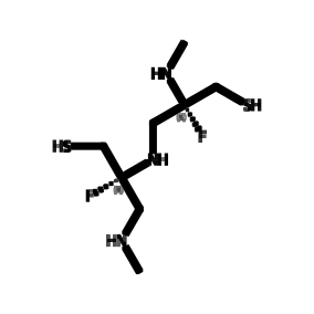 CNC[C@@](F)(CS)NC[C@](F)(CS)NC